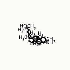 C[C@H](CCCC(C)(C)O)[C@H]1CC[C@H]2[C@@H]3CCC4CC(C)(O)CC[C@]4(C)[C@H]3CC[C@]12C